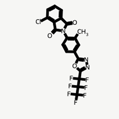 Cc1cc(-c2nnc(C(F)(F)C(F)(F)C(F)(F)F)o2)ccc1N1C(=O)c2cccc(Cl)c2C1=O